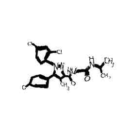 Cc1c(C(=O)NC(=O)NC(C)C)nn(-c2ccc(Cl)cc2Cl)c1-c1ccc(Cl)cc1